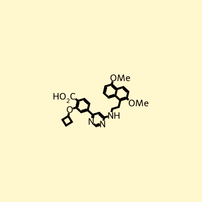 COc1ccc2c(OC)cccc2c1CCNc1cc(-c2ccc(C(=O)O)c(OC3CCC3)c2)ncn1